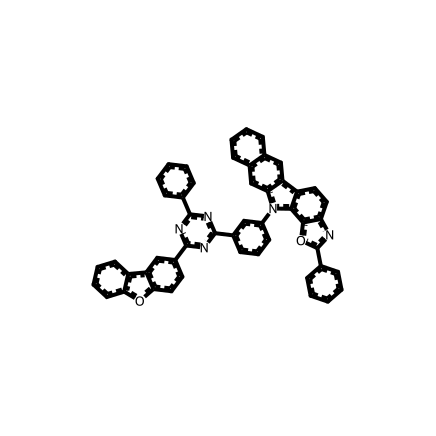 c1ccc(-c2nc(-c3cccc(-n4c5cc6ccccc6cc5c5ccc6nc(-c7ccccc7)oc6c54)c3)nc(-c3ccc4oc5ccccc5c4c3)n2)cc1